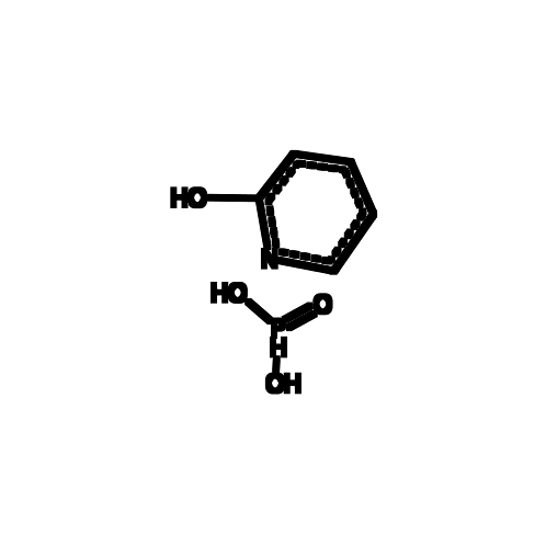 O=[PH](O)O.Oc1ccccn1